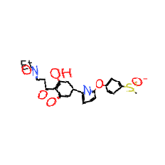 CCON=CCC(=O)C1=C(O)CC(c2cccc(Oc3ccc([S+](C)[O-])cc3)n2)CC1=O